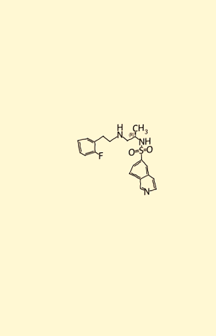 C[C@H](CNCCc1ccccc1F)NS(=O)(=O)c1ccc2cnccc2c1